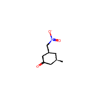 C[C@H]1CC(=O)CC(C[N+](=O)[O-])C1